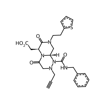 C#CCN1CC(=O)N2[C@@H](CC(=O)O)C(=O)N(CCc3cccs3)C[C@@H]2N1C(=O)NCc1ccccc1